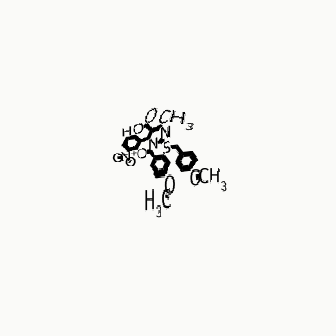 COc1ccc(CSC2=NC(C)=C(C(=O)O)C(c3cccc([N+](=O)[O-])c3)N2C(=O)c2ccc(OC)cc2)cc1